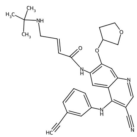 C#Cc1cccc(Nc2c(C#N)cnc3cc(OC4CCOC4)c(NC(=O)C=CCNC(C)(C)C)cc23)c1